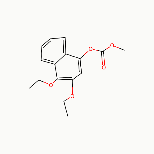 CCOc1cc(OC(=O)OC)c2ccccc2c1OCC